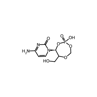 Nc1ccn([C@H]2OP(=O)(O)OCOC2CO)c(=O)n1